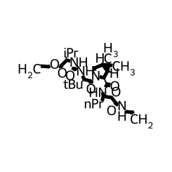 C=CCNC(=O)C(=O)C(CCC)NC(=O)[C@@H]1[C@@H]2[C@H](CN1C(=O)[C@@H](NC(=O)N[C@H](C(=O)OCC=C)C(C)C)C(C)(C)C)C2(C)C